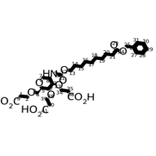 O=C(O)CCOC[C@H]1OC[C@H](NC(=O)OCCCCCCCCCC(=O)OCc2ccccc2)[C@@H](OCCC(=O)O)[C@@H]1OCCC(=O)O